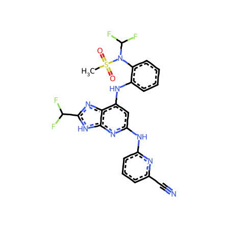 CS(=O)(=O)N(c1ccccc1Nc1cc(Nc2cccc(C#N)n2)nc2[nH]c(C(F)F)nc12)C(F)F